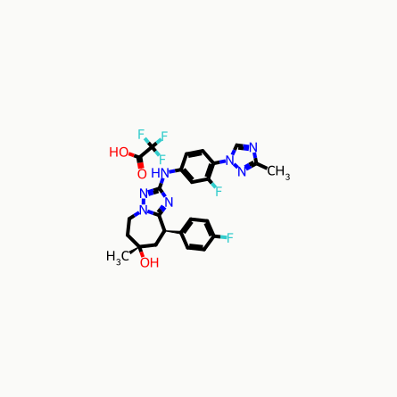 Cc1ncn(-c2ccc(Nc3nc4n(n3)CC[C@@](C)(O)C[C@@H]4c3ccc(F)cc3)cc2F)n1.O=C(O)C(F)(F)F